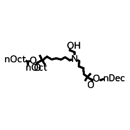 CCCCCCCCCCCOC(=O)C(C)(C)CCCCN(CCO)CCCCCCC(C)(C)C(=O)OC(CCCCCCCC)CCCCCCCC